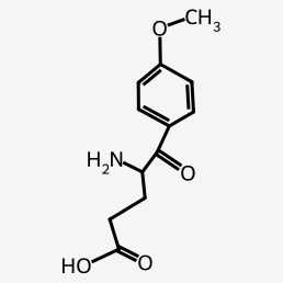 COc1ccc(C(=O)C(N)CCC(=O)O)cc1